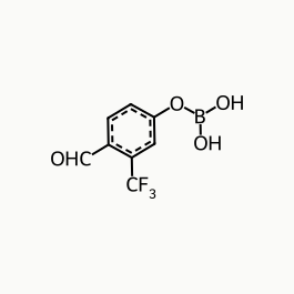 O=Cc1ccc(OB(O)O)cc1C(F)(F)F